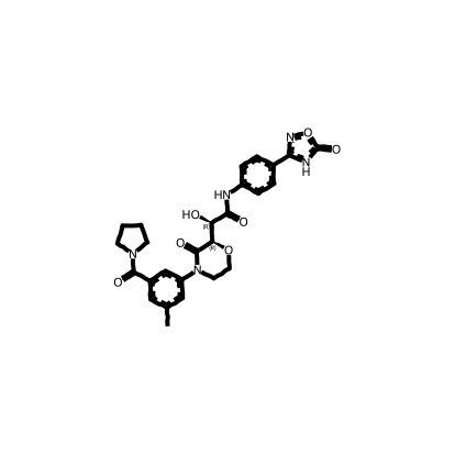 Cc1cc(C(=O)N2CCCC2)cc(N2CCO[C@H]([C@@H](O)C(=O)Nc3ccc(-c4noc(=O)[nH]4)cc3)C2=O)c1